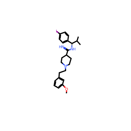 COc1cccc(CCN2CCC(C(=N)N[C@@H](c3ccc(I)cc3)C(C)C)CC2)c1